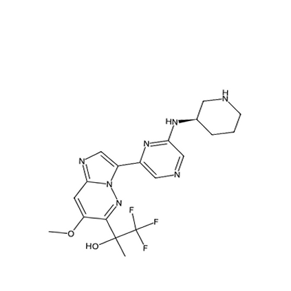 COc1cc2ncc(-c3cncc(N[C@@H]4CCCNC4)n3)n2nc1C(C)(O)C(F)(F)F